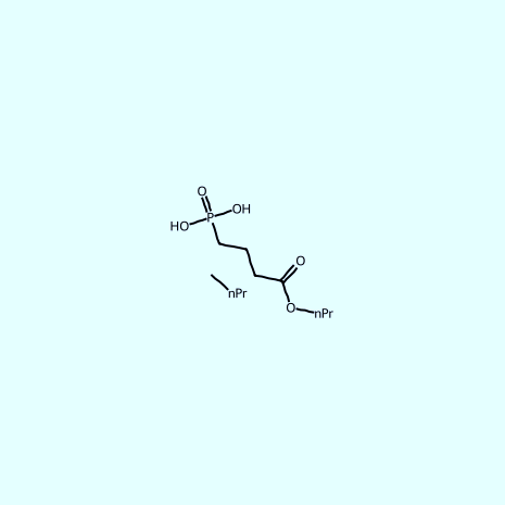 CCCC.CCCOC(=O)CCCP(=O)(O)O